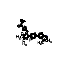 C=Nc1cc(-c2ccc(C3=NC(C)(C)C(=O)N3CC3CN(C(=O)C4CC4)C3)c(F)c2)ccc1/C=C\C